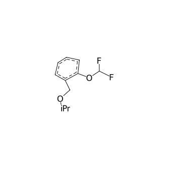 CC(C)OCc1ccccc1OC(F)F